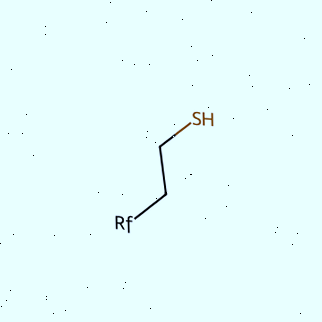 SC[CH2][Rf]